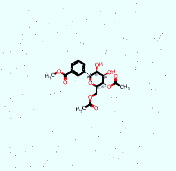 COC(=O)c1cccc([C@H]2O[C@H](COC(C)=O)[C@@H](OC(C)=O)[C@H](O)[C@@H]2O)c1